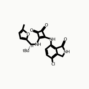 Cc1ccc([C@H](Nc2c(Nc3ccc(Cl)c4c3C(=O)NC4)c(=O)c2=O)C(C)(C)C)o1